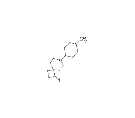 CN1CCC(N2CCC3(CCC3I)CC2)CC1